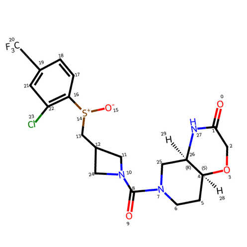 O=C1CO[C@H]2CCN(C(=O)N3CC(C[S+]([O-])c4ccc(C(F)(F)F)cc4Cl)C3)C[C@H]2N1